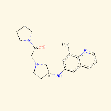 Cc1cc(N[C@@H]2CCN(CC(=O)N3CCCC3)C2)cc2cccnc12